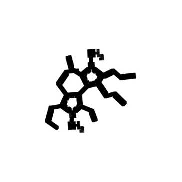 Bn1c(C=C)c(-c2c(C=C)n(B)c(=C/C=C)/c2=C\C=C)c(/C=C\C)c1/C=C\C